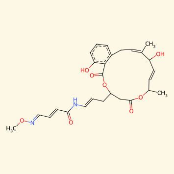 CO/N=C/C=C/C(=O)N/C=C/CC1CC(=O)OC(C)/C=C/C(O)/C(C)=C\Cc2cccc(O)c2C(=O)O1